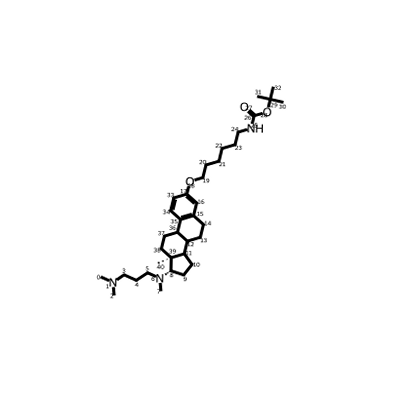 CN(C)CCCN(C)[C@H]1CCC2C3CCc4cc(OCCCCCCNC(=O)OC(C)(C)C)ccc4C3CC[C@@]21C